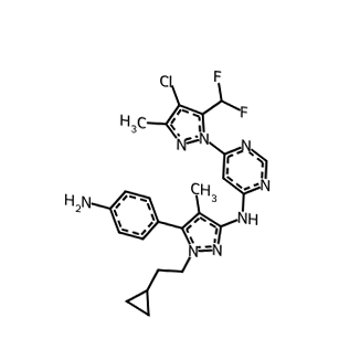 Cc1nn(-c2cc(Nc3nn(CCC4CC4)c(-c4ccc(N)cc4)c3C)ncn2)c(C(F)F)c1Cl